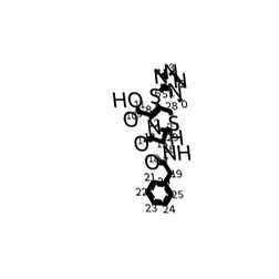 Cn1nnnc1SC1=C(C(=O)O)N2C(=O)[C@@H](NC(=O)Cc3ccccc3)[C@@H]2SC1